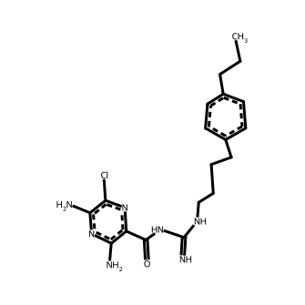 CCCc1ccc(CCCCNC(=N)NC(=O)c2nc(Cl)c(N)nc2N)cc1